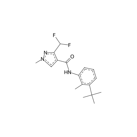 Cc1c(NC(=O)c2cn(C)nc2C(F)F)cccc1C(C)(C)C